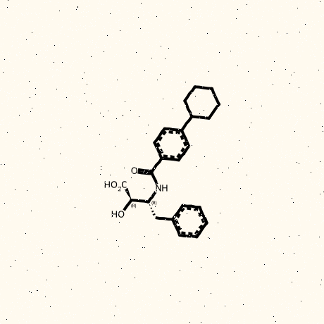 O=C(N[C@H](Cc1ccccc1)[C@@H](O)C(=O)O)c1ccc(C2CCCCC2)cc1